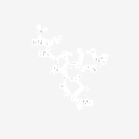 CCCNC(=O)Nc1nc(-c2ccc(OC)cc2)c(-c2cc[n+]([O-])cc2)s1